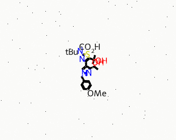 COc1ccc(Cn2cc(-c3nc(N(C(=O)O)C(C)(C)C)sc3C(C)(C)O)c(C(C)O)n2)cc1